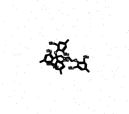 Cc1cc(C(C)(C)C)c(OCCOCC(Oc2c(C(C)(C)C)cc(C)cc2C(C)(C)C)(c2c(C(C)(C)C)cc(C)cc2C(C)(C)C)c2c(C(C)(C)C)cc(C)cc2C(C)(C)C)c(C(C)(C)C)c1